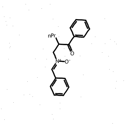 CCCC(C[N+]([O-])=Cc1ccccc1)C(=O)c1ccccc1